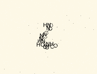 CCc1c(NC[C@H](NC(=O)c2ccc3ccccc3c2)C(=O)O)ncnc1N1CCC(c2ccc3c(n2)NCCC3)CC1